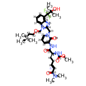 COC(=O)N[C@@H](CC/C=C/C(=O)N(C)C)C(=O)Nc1cccn(Cc2nc3c(C(F)(F)C(C)(C)O)cccc3n2COCC[Si](C)(C)C)c1=O